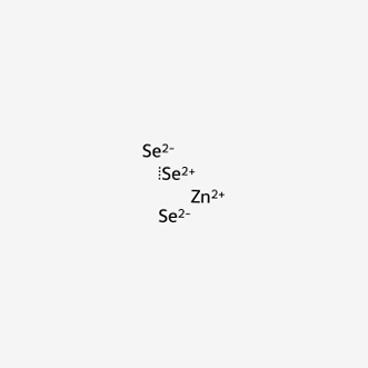 [Se+2].[Se-2].[Se-2].[Zn+2]